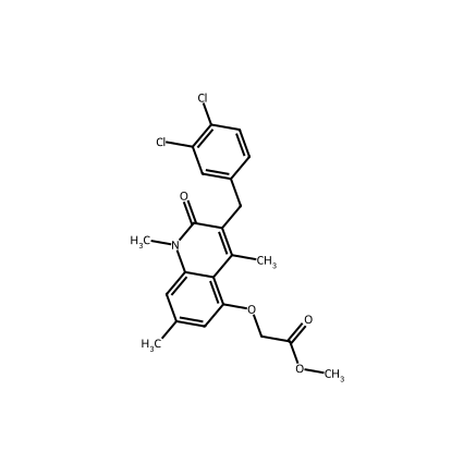 COC(=O)COc1cc(C)cc2c1c(C)c(Cc1ccc(Cl)c(Cl)c1)c(=O)n2C